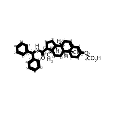 C[C@]12CCC(OC(=O)O)=CC1=CC[C@@H]1[C@@H]2CC[C@]2(C)C(C(=O)NC(c3ccccc3)c3ccccc3)CC[C@@H]12